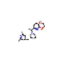 Cc1cc(C[C@H]2CCCN(C(C)c3ccc4c(n3)OCCO4)C2)cc(C)n1